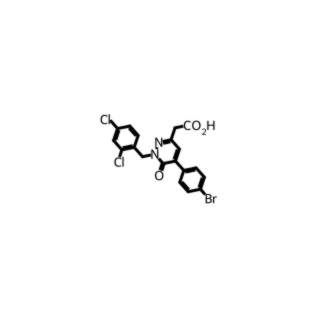 O=C(O)Cc1cc(-c2ccc(Br)cc2)c(=O)n(Cc2ccc(Cl)cc2Cl)n1